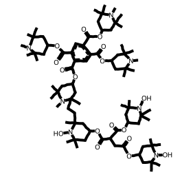 CN1C(C)(C)CC(OC(=O)c2cc(C(=O)OC3CC(C)(C)N(C)C(C)(C)C3)c(C(=O)OC3CC(C)(C)N(C)C(C)(CCC4(C)CC(OC(=O)C(CC(=O)OC5CC(C)(C)N(O)C(C)(C)C5)C(=O)OC5CC(C)(C)N(O)C(C)(C)C5)CC(C)(C)N4O)C3)cc2C(=O)OC2CC(C)(C)N(C)C(C)(C)C2)CC1(C)C